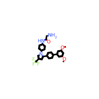 COc1cc(OC)cc(-c2ccc(-c3cc(C(F)(F)F)cn3-c3ccc(NC(=O)CN)cc3)cc2)c1